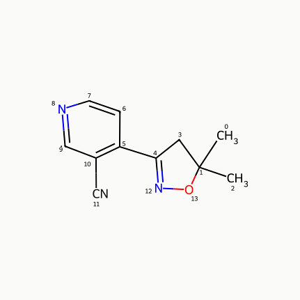 CC1(C)CC(c2ccn[c]c2C#N)=NO1